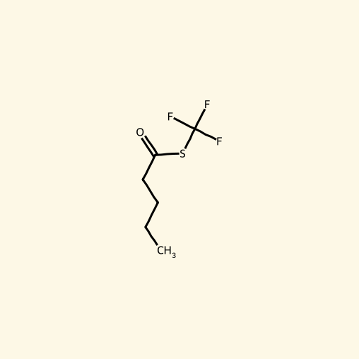 CCCCC(=O)SC(F)(F)F